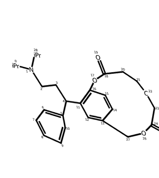 CC(C)N(CCC(c1ccccc1)c1cc2ccc1OC(=O)CCCCC(=O)OC2)C(C)C